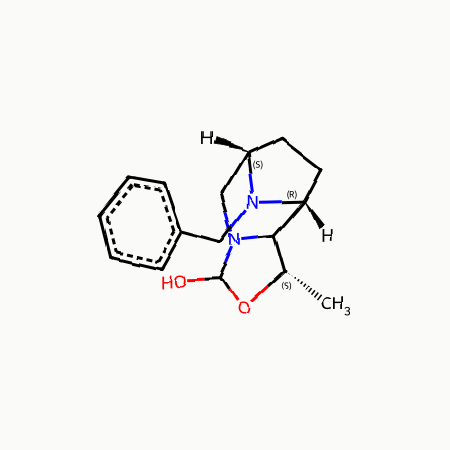 C[C@@H]1OC(O)N2C[C@@H]3CC[C@H](C12)N3Cc1ccccc1